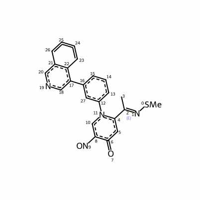 CS/N=C(\C)c1cc(=O)c(N=O)cn1-c1cccc(-c2cncc3c2C=C=C=C3)c1